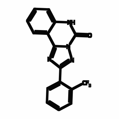 O=c1[nH]c2ccccc2c2nc(-c3ccccc3C(F)(F)F)nn12